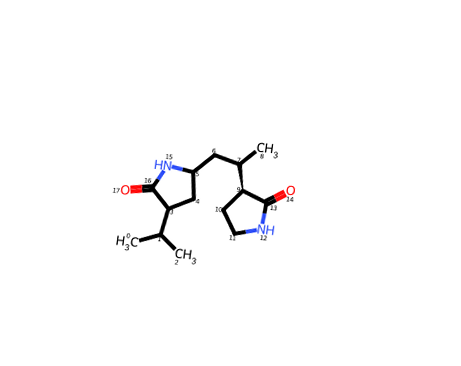 CC(C)C1CC(CC(C)[C@@H]2CCNC2=O)NC1=O